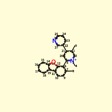 Cc1c[n+](C)c(-c2c(C)ccc3c2oc2ccccc23)cc1-c1cccnc1